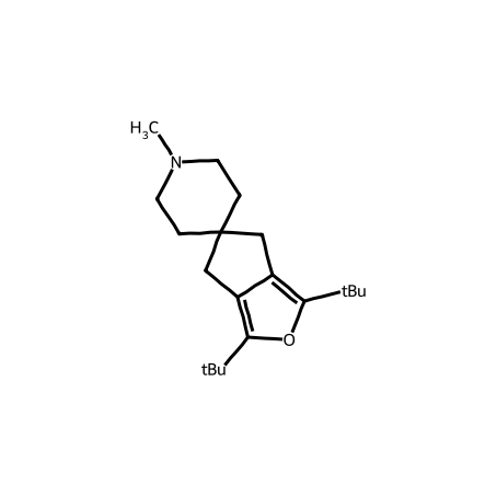 CN1CCC2(CC1)Cc1c(C(C)(C)C)oc(C(C)(C)C)c1C2